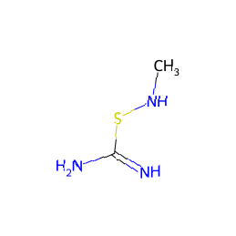 CNSC(=N)N